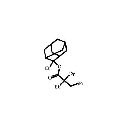 CCC(CC(C)C)(C(=O)OC1(CC)C2CC3CC(C2)CC1C3)C(C)C